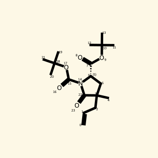 C=CCC1(C)C[C@@H](C(=O)OC(C)(C)C)N(C(=O)OC(C)(C)C)C1=O